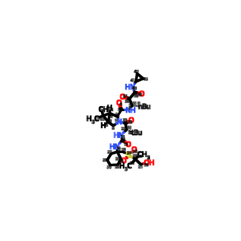 CCCC[C@H](NC(=O)[C@@H]1[C@@H]2[C@H](CN1C(=O)[C@@H](NC(=O)NC1(CS(=O)(=O)C(C)(C)CO)CCCCC1)C(C)(C)C)C2(C)C)C(=O)C(=O)NC1CC1